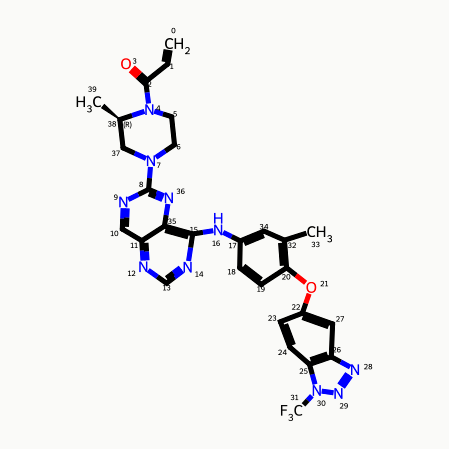 C=CC(=O)N1CCN(c2ncc3ncnc(Nc4ccc(Oc5ccc6c(c5)nnn6C(F)(F)F)c(C)c4)c3n2)C[C@H]1C